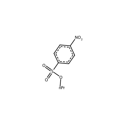 [CH2]CCOS(=O)(=O)c1ccc([N+](=O)[O-])cc1